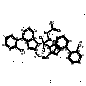 CCC(=O)N[B](NC(=O)CC)[Zr]([Cl])([Cl])([CH]1C(C(C)CC)=Cc2c(-c3ccccc3C(F)(F)F)cccc21)[CH]1C(C(C)CC)=Cc2c(-c3ccccc3C(F)(F)F)cccc21